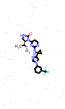 CC(C)[C@H]1CNC(=O)N1c1ccnc(NC2(c3cn(-c4cccc(C(F)(F)F)c4)cn3)CC2)n1